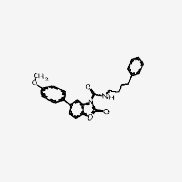 COc1ccc(-c2ccc3oc(=O)n(C(=O)NCCCCc4ccccc4)c3c2)cc1